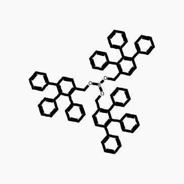 c1ccc(-c2ccc(COB(OCc3ccc(-c4ccccc4)c(-c4ccccc4)c3-c3ccccc3)OCc3ccc(-c4ccccc4)c(-c4ccccc4)c3-c3ccccc3)c(-c3ccccc3)c2-c2ccccc2)cc1